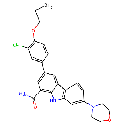 BCCOc1ccc(-c2cc(C(N)=O)c3[nH]c4cc(N5CCOCC5)ccc4c3c2)cc1Cl